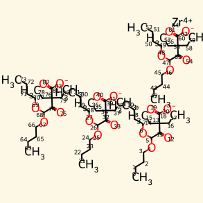 CCCCOC(OCCCC)C(=O)C(CC)(CC)C(=O)[O-].CCCCOC(OCCCC)C(=O)C(CC)(CC)C(=O)[O-].CCCCOC(OCCCC)C(=O)C(CC)(CC)C(=O)[O-].CCCCOC(OCCCC)C(=O)C(CC)(CC)C(=O)[O-].[Zr+4]